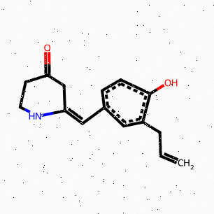 C=CCc1cc(C=C2CC(=O)CCN2)ccc1O